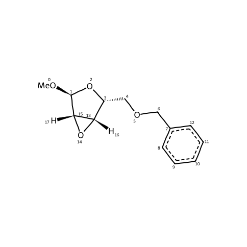 CO[C@H]1O[C@H](COCc2ccccc2)[C@@H]2O[C@H]12